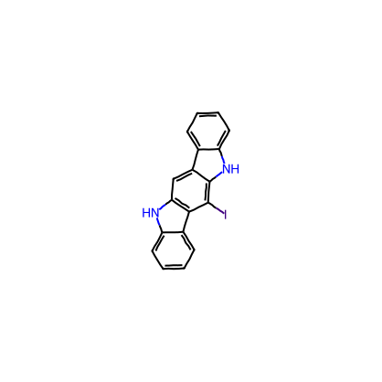 Ic1c2[nH]c3ccccc3c2cc2[nH]c3ccccc3c12